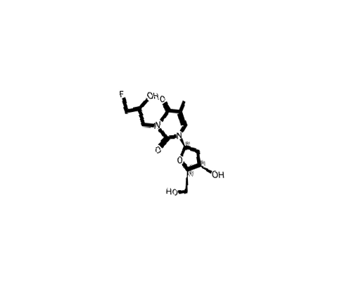 Cc1cn([C@H]2C[C@@H](O)[C@@H](CO)O2)c(=O)n(CC(O)CF)c1=O